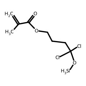 C=C(C)C(=O)OCCCC(Cl)(Cl)O[SiH3]